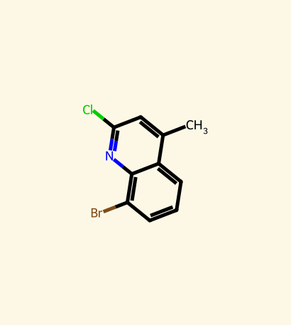 Cc1cc(Cl)nc2c(Br)cccc12